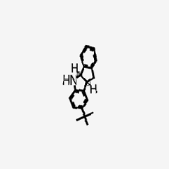 CC(C)(C)c1ccc2c(c1)[C@@H]1Cc3ccccc3[C@@H]1N2